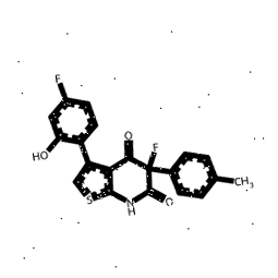 Cc1ccc(C2(F)C(=O)Nc3scc(-c4ccc(F)cc4O)c3C2=O)cc1